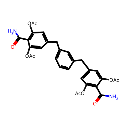 CC(=O)Oc1cc(Cc2cccc(Cc3cc(OC(C)=O)c(C(N)=O)c(OC(C)=O)c3)c2)cc(OC(C)=O)c1C(N)=O